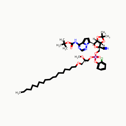 CCCCCCCCCCCCCCCCCCOC[C@H](COP(=O)(OC[C@@]1(C#N)O[C@@H](c2ccc3c(NC(=O)OC(C)(C)C)ncnn23)[C@@H]2OC(C)(C)O[C@@H]21)Oc1ccccc1Cl)OC